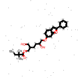 CC(C)(C)CC(C)(C(=O)OCC(CO)CCC(O)COc1ccc2cc(-c3ccccc3)oc2c1)C(C)(C)C